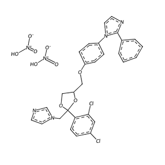 Clc1ccc(C2(Cn3ccnc3)OCC(COc3ccc(-n4ccnc4-c4ccccc4)cc3)O2)c(Cl)c1.O=[N+]([O-])O.O=[N+]([O-])O